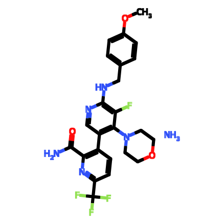 COc1ccc(CNc2ncc(-c3ccc(C(F)(F)F)nc3C(N)=O)c(N3CCOCC3)c2F)cc1.N